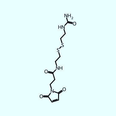 NC(=O)NCCSSCCNC(=O)CCN1C(=O)C=CC1=O